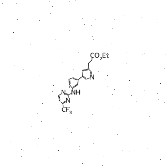 CCOC(=O)CCc1cncc(-c2cccc(Nc3nccc(C(F)(F)F)n3)c2)c1